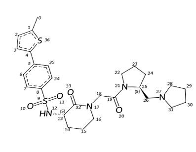 Cc1ccc(-c2ccc(S(=O)(=O)N[C@H]3CCCN(CC(=O)N4CCC[C@H]4CN4CCCC4)C3=O)cc2)s1